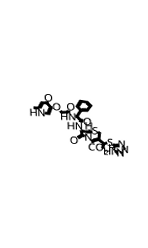 Cc1cc(=O)c(OCC(=O)NC(C(=O)NC2C(=O)N3C(C(=O)O)=C(C(C)Sc4nnn[nH]4)CS[C@H]23)c2ccccc2)c[nH]1